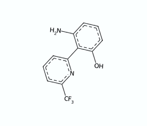 Nc1cccc(O)c1-c1cccc(C(F)(F)F)n1